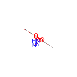 CCCCCCCCCCCCCCCCCC(=O)OCCCC(CCCOC(=O)CCCCCCCCCCCCCCCCC)OC(=O)NCCCN(C)CCCCN(C)C